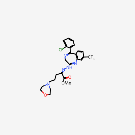 COC(=O)C(CCCN1CCOCC1)=NNC1=Nc2cc(C(F)(F)F)ccc2C(c2ccccc2Cl)=NC1